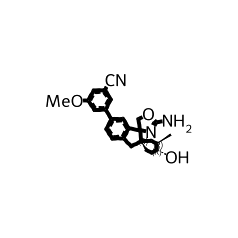 COc1cc(C#N)cc(-c2ccc3c(c2)C2(COC(N)=N2)[C@@]2(CC[C@@H](O)[C@H](C)C2)C3)c1